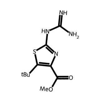 COC(=O)c1nc(NC(=N)N)sc1C(C)(C)C